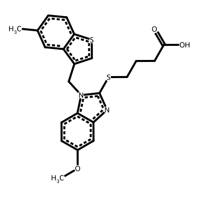 COc1ccc2c(c1)nc(SCCCC(=O)O)n2Cc1csc2ccc(C)cc12